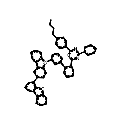 CCCCc1ccc(-c2nc(-c3ccccc3)nc(-c3ccccc3-c3cccc(-n4c5ccccc5c5cc(-c6cccc7c6oc6ccccc67)ccc54)c3)n2)cc1